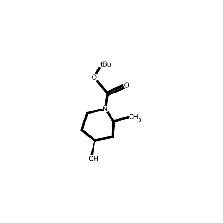 CC1C[C@@H](O)CCN1C(=O)OC(C)(C)C